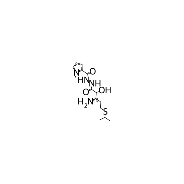 CC(C)SCC[C@@H](N)C(O)C(=O)NNC(=O)c1cccn1C